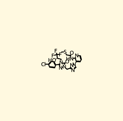 CSCC(=O)Nc1ncccc1-n1cnc(Cn2nc(-c3ccc(Cl)cc3)n(C[C@H](O)C(F)(F)F)c2=O)n1